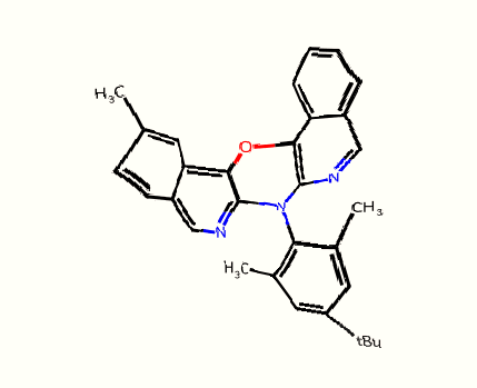 Cc1ccc2cnc3c(c2c1)Oc1c(ncc2ccccc12)N3c1c(C)cc(C(C)(C)C)cc1C